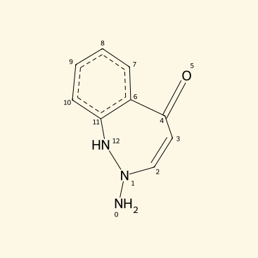 NN1C=CC(=O)c2ccccc2N1